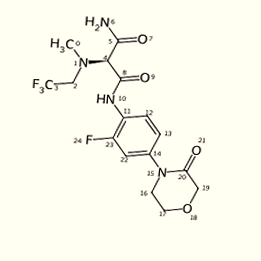 CN(CC(F)(F)F)[C@@H](C(N)=O)C(=O)Nc1ccc(N2CCOCC2=O)cc1F